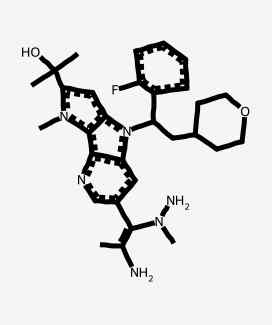 C/C(N)=C(\c1cnc2c3c(cc(C(C)(C)O)n3C)n(C(CC3CCOCC3)c3ccccc3F)c2c1)N(C)N